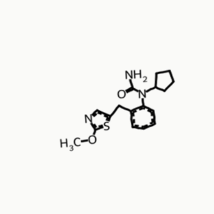 COc1ncc(Cc2ccccc2N(C(N)=O)C2CCCC2)s1